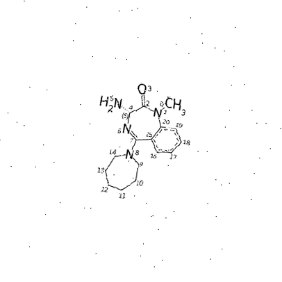 CN1C(=O)[C@@H](N)N=C(N2CCCCCC2)c2ccccc21